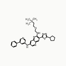 C[Si](C)(C)CCOCNc1nc2cc(Nc3cncc(-c4ccccc4)c3)cnc2cc1-c1nnc(C2CCCC2)s1